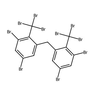 Brc1cc(Br)c(C(Br)(Br)Br)c(Cc2cc(Br)cc(Br)c2C(Br)(Br)Br)c1